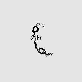 CCCN1CCN(CCCNC(=O)C2CCC(C=O)CC2)CC1